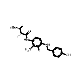 CCCC[C@@H](F)[C@@H](F)C(=O)Nc1ccc(NCc2ccc(O)cc2)c(F)c1N